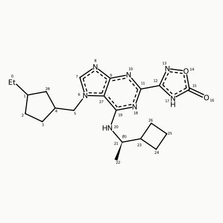 CCC1CCC(Cn2cnc3nc(-c4noc(=O)[nH]4)nc(N[C@H](C)C4CCC4)c32)C1